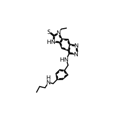 CCCNCc1ccc(CNc2ncnc3cc4c(cc23)[nH]c(=S)n4CC)cc1